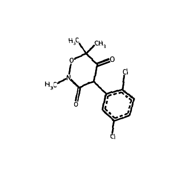 CN1OC(C)(C)C(=O)C(c2cc(Cl)ccc2Cl)C1=O